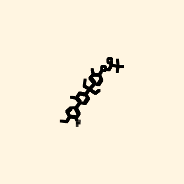 CCc1ccc(-c2ccc(C(CC)(CC)c3ccc(OCC(=O)C(C)(C)C)c(C)c3)cc2C)cc1F